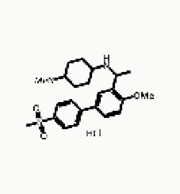 CNC1CCC(NC(C)c2cc(-c3ccc(S(C)(=O)=O)cc3)ccc2OC)CC1.Cl